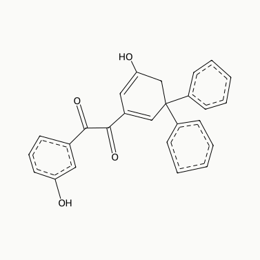 O=C(C(=O)c1cccc(O)c1)C1=CC(c2ccccc2)(c2ccccc2)CC(O)=C1